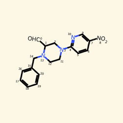 O=CC1CN(c2ccc([N+](=O)[O-])cn2)CCN1Cc1ccccc1